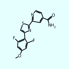 COc1cc(F)c(-c2csc(-c3cc(C(N)=O)ccn3)n2)c(F)c1